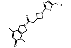 Cc1cc(=O)n(C)c2c1CN(C(=O)CC1CN(c3ncc(C(F)(F)F)s3)C1)C2